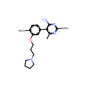 CNc1nc(C)c(-c2ccc(OC)c(OCCCN3CCCC3)c2)c(N)n1